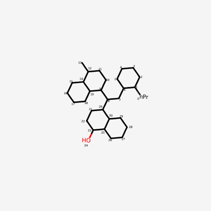 CCCC1CCCCC1CC(C1CCC(C)C2CCCCC21)C1CCC(O)C2CCCCC21